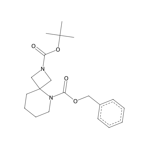 CC(C)(C)OC(=O)N1CC2(CCCCN2C(=O)OCc2ccccc2)C1